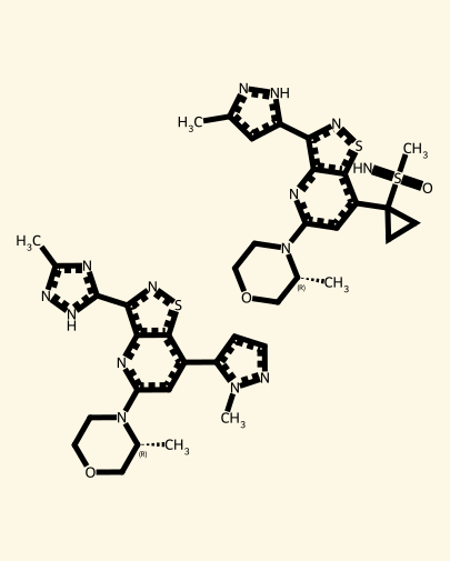 Cc1cc(-c2nsc3c(C4(S(C)(=N)=O)CC4)cc(N4CCOC[C@H]4C)nc23)[nH]n1.Cc1n[nH]c(-c2nsc3c(-c4ccnn4C)cc(N4CCOC[C@H]4C)nc23)n1